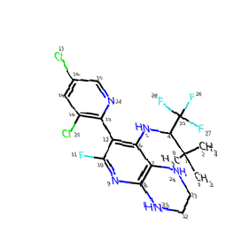 CC(C)(C)C(Nc1c2c(nc(F)c1-c1ncc(Cl)cc1Cl)NCCN2)C(F)(F)F